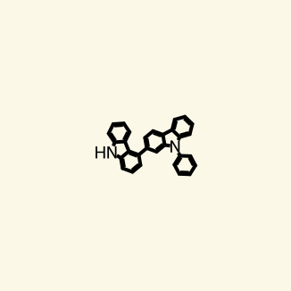 c1ccc(-n2c3ccccc3c3ccc(-c4cccc5[nH]c6ccccc6c45)cc32)cc1